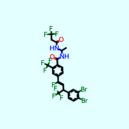 CC(NC(=O)CC(F)(F)F)NC(=O)c1ccc(/C(F)=C/C(c2ccc(Br)c(Br)c2)C(F)(F)F)cc1C(F)(F)F